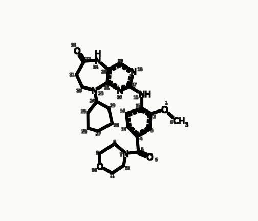 COc1cc(C(=O)N2CCOCC2)ccc1Nc1ncc2c(n1)N(C1CCCCC1)CCC(=O)N2